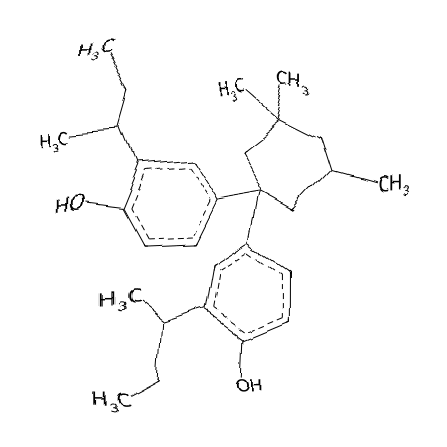 CCC(C)c1cc(C2(c3ccc(O)c(C(C)CC)c3)CC(C)CC(C)(C)C2)ccc1O